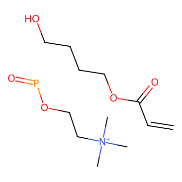 C=CC(=O)OCCCCO.C[N+](C)(C)CCOP=O